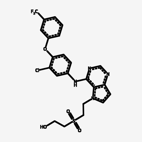 O=S(=O)(CCO)CCn1ccc2ncnc(Nc3ccc(Oc4cccc(C(F)(F)F)c4)c(Cl)c3)c21